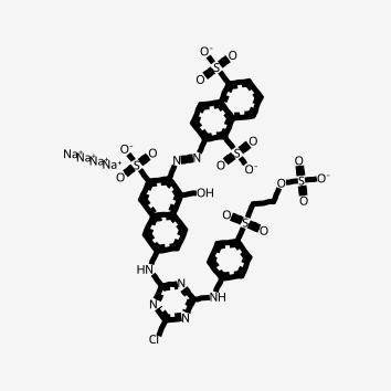 O=S(=O)([O-])OCCS(=O)(=O)c1ccc(Nc2nc(Cl)nc(Nc3ccc4c(O)c(N=Nc5ccc6c(S(=O)(=O)[O-])cccc6c5S(=O)(=O)[O-])c(S(=O)(=O)[O-])cc4c3)n2)cc1.[Na+].[Na+].[Na+].[Na+]